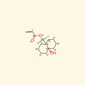 C=CC(=O)OC(C)(C)C12CCCCC1(O)CCCC2